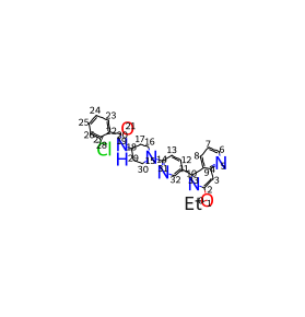 CCOc1cc2ncccc2c(-c2ccc(N3CCC(NC(=O)c4ccccc4Cl)CC3)nc2)n1